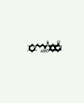 COc1cc2ccnc(Cl)c2cc1N(C)C(=O)CCCN1CCCCC1